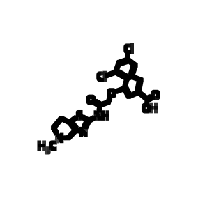 CN1CCc2sc(NC(=O)COc3cc(C(=O)O)cc4cc(Cl)cc(Cl)c34)nc2C1